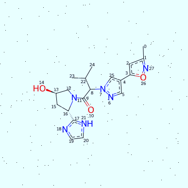 Cc1cc(-c2cnn(C(C(=O)N3C[C@H](O)C[C@H]3c3ncc[nH]3)C(C)C)c2)on1